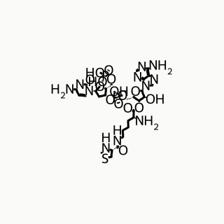 Nc1ccn([C@H]2C[C@H](OP(=O)(O)OC[C@@H]3O[C@@H](n4cnc5c(N)ncnc54)[C@H](O)[C@@H]3OC(=O)[C@H](N)CCCCNC(=O)[C@@H]3CSCN3)[C@@H](COP(=O)(O)O)O2)c(=O)n1